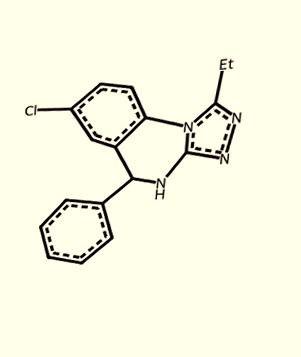 CCc1nnc2n1-c1ccc(Cl)cc1C(c1ccccc1)N2